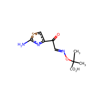 CC(C)(ON=CC(=O)c1csc(N)n1)C(=O)O